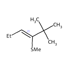 CC/C=C(\SC)C(C)(C)C